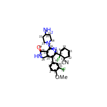 COc1ccc(-c2c(C3(F)C=CC=CC3C#N)nc(N3CCC(N)CC3)c3c2CNC3=O)cc1F